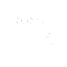 CCOCc1ccc2c(c1)Nc1ccc(CN3CCN(CCOCC(=O)NCCO)CC3)cc1C2(C)C